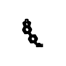 CC(C)(C)c1ccc(-c2ccc3cocc3c2)cc1